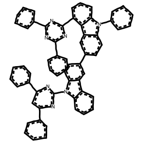 c1ccc(-c2cc(-c3ccccc3)nc(-n3c4ccccc4c4cc(-c5ccc6c(c5)c5c(-c7nc(-c8ccccc8)nc(-c8ccccc8)n7)cccc5n6-c5ccccc5)ccc43)n2)cc1